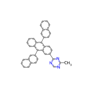 Cc1ncnc(-c2ccc3c(-c4ccc5ccccc5c4)c4ccccc4c(-c4ccc5ccccc5c4)c3c2)n1